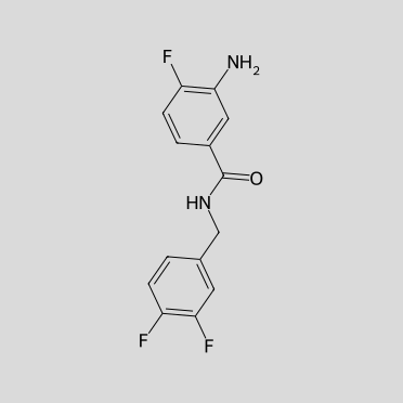 Nc1cc(C(=O)NCc2ccc(F)c(F)c2)ccc1F